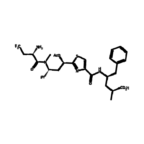 CC(=O)O[C@H](C[C@H](C(C)C)N(C)C(=O)[C@@H](N)CC(F)(F)F)c1nc(C(=O)N[C@@H](Cc2ccccc2)C[C@H](C)C(=O)O)cs1